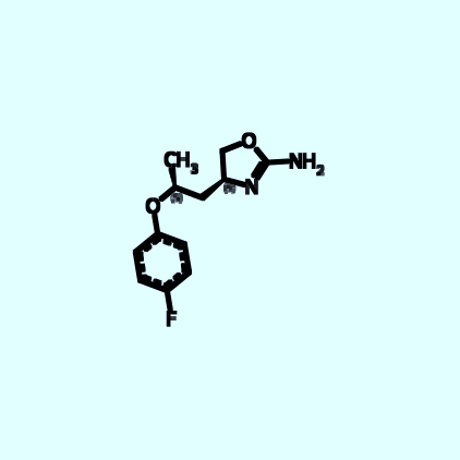 C[C@@H](C[C@H]1COC(N)=N1)Oc1ccc(F)cc1